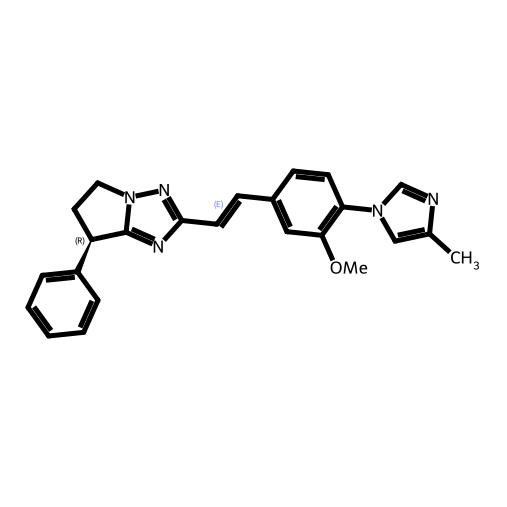 COc1cc(/C=C/c2nc3n(n2)CC[C@@H]3c2ccccc2)ccc1-n1cnc(C)c1